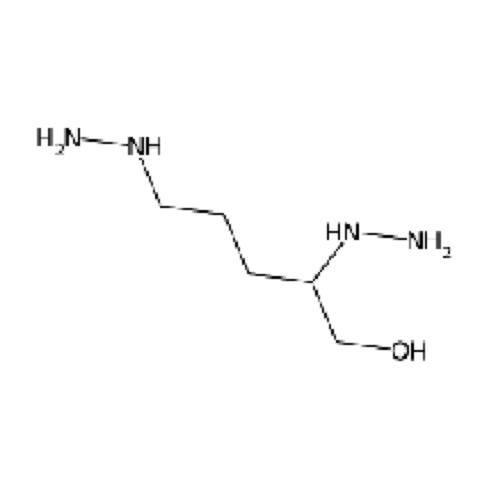 NNCCCC(CO)NN